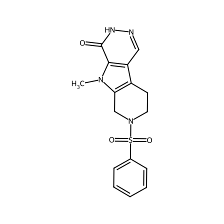 Cn1c2c(c3cn[nH]c(=O)c31)CCN(S(=O)(=O)c1ccccc1)C2